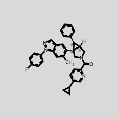 Cc1cc2c(cnn2-c2ccc(F)cc2)cc1[C@]12CN(C(=O)c3ccc(C4CC4)cn3)C[C@H]1[C@@H]2c1ccccc1